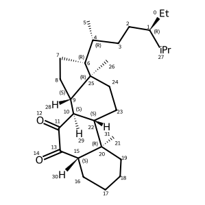 CC[C@H](CC[C@@H](C)[C@H]1CC[C@H]2[C@@H]3C(=O)C(=O)[C@H]4CCCC[C@]4(C)[C@H]3CC[C@]12C)C(C)C